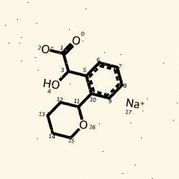 O=C([O-])C(O)c1ccccc1C1CCCCO1.[Na+]